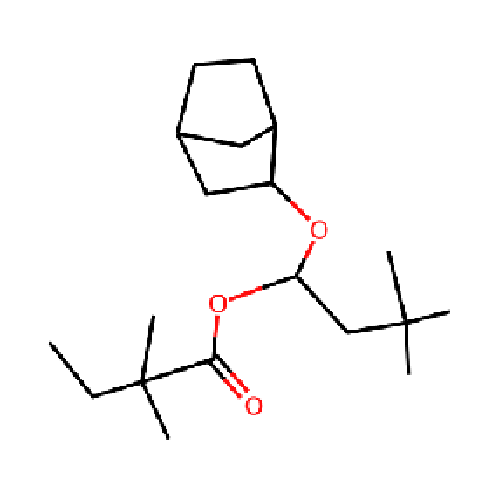 CCC(C)(C)C(=O)OC(CC(C)(C)C)OC1CC2CCC1C2